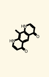 Cc1c2[nH]ccc(=O)c2cc2c(=O)cc[nH]c12